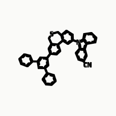 N#Cc1ccc2c(c1)c1ccccc1n2-c1ccc2c(c1)-c1ccc(-c3cc(-c4ccccc4)cc(-c4ccccc4)c3)cc1CSC2